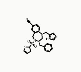 N#Cc1ccc2c(c1)CN(S(=O)(=O)C1CC=CS1)[C@H](Cc1ccccc1)CN2Cc1cnc[nH]1